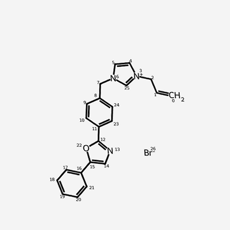 C=CC[n+]1ccn(Cc2ccc(-c3ncc(-c4ccccc4)o3)cc2)c1.[Br-]